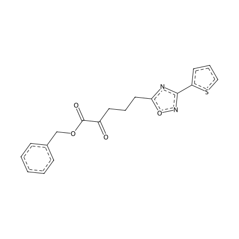 O=C(CCCc1nc(-c2cccs2)no1)C(=O)OCc1ccccc1